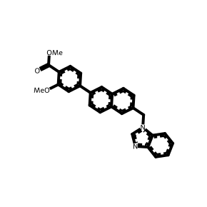 COC(=O)c1ccc(-c2ccc3cc(Cn4cnc5ccccc54)ccc3c2)cc1OC